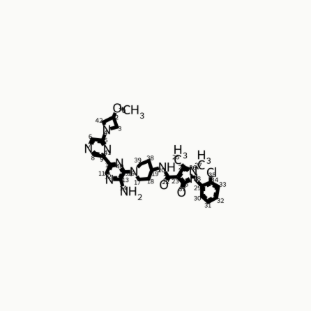 COC1CN(c2cncc(-c3cnc(N)c(N4CCC(NC(=O)c5c(C)n(C)n(-c6ccccc6Cl)c5=O)CC4)n3)n2)C1